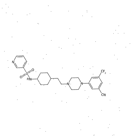 N#Cc1cc(N2CCN(CCC3CCC(NS(=O)(=O)c4cccnc4)CC3)CC2)cc(C(F)(F)F)c1